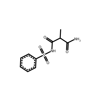 C[C](C(N)=O)C(=O)NS(=O)(=O)c1ccccc1